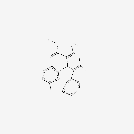 COC(=O)C1=C(C)NC(C)=C(c2cccnc2)C1c1cccc(Cl)c1